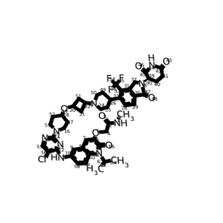 CNC(=O)COc1cc2cc(Nc3nc(N4CCC(OC5CC(N6CCC(c7ccc8c(c7C(F)(F)F)CN([C@@H]7CCC(=O)NC7=O)C8=O)CC6)C5)CC4)ncc3Cl)ccc2n(C(C)C)c1=O